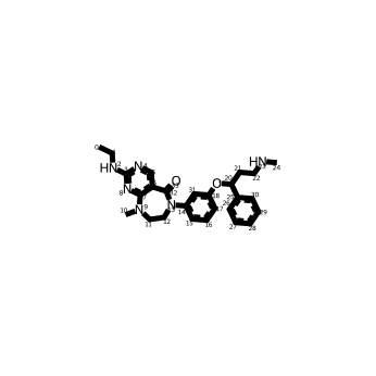 CCNc1ncc2c(n1)N(C)CCN(c1cccc(OC(CCNC)c3ccccc3)c1)C2=O